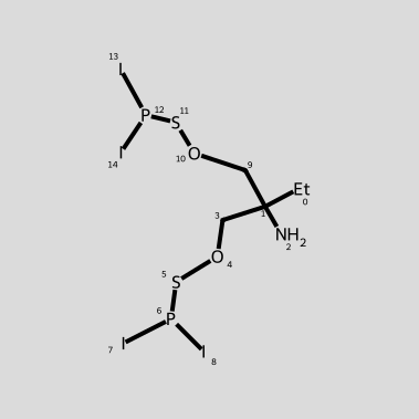 CCC(N)(COSP(I)I)COSP(I)I